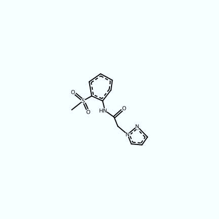 CS(=O)(=O)c1ccccc1NC(=O)Cn1cccn1